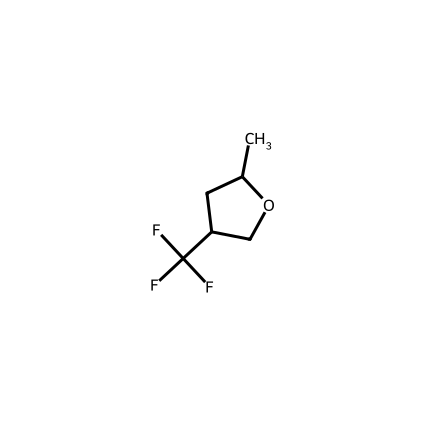 CC1CC(C(F)(F)F)CO1